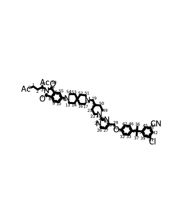 CC(=O)CCC(C(C)=O)N1C(=O)c2ccc(N3CCC4(CCN(CC5CCN(c6nccc(COc7ccc(C(C)(C)c8cc(Cl)cc(C#N)c8)cc7)n6)CC5)CC4)CC3)cc2C1=O